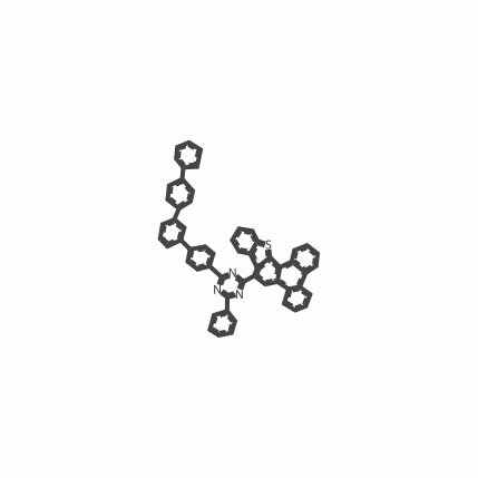 c1ccc(-c2ccc(-c3cccc(-c4ccc(-c5nc(-c6ccccc6)nc(-c6cc7c8ccccc8c8ccccc8c7c7sc8ccccc8c67)n5)cc4)c3)cc2)cc1